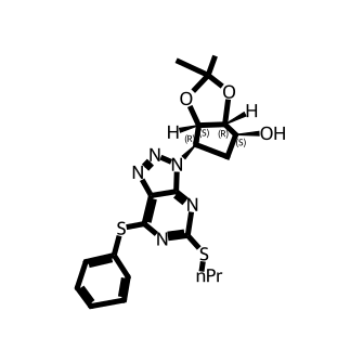 CCCSc1nc(Sc2ccccc2)c2nnn([C@@H]3C[C@H](O)[C@H]4OC(C)(C)O[C@H]43)c2n1